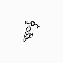 Cc1cc(=O)nc(CN2CCN(c3cc(CC(C)C)ccc3C#N)CC2)[nH]1